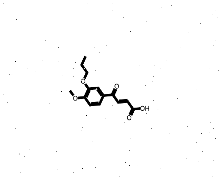 CCCOc1cc(C(=O)C=CC(=O)O)ccc1OC